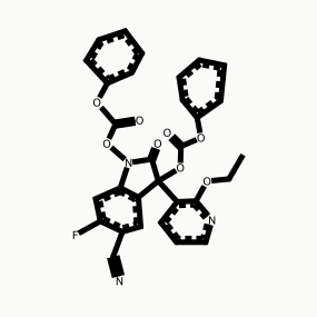 CCOc1ncccc1C1(OC(=O)Oc2ccccc2)C(=O)N(OC(=O)Oc2ccccc2)c2cc(F)c(C#N)cc21